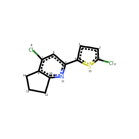 Clc1ccc(-c2cc(Cl)c3c(n2)CCC3)s1